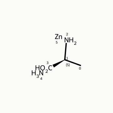 C[C@H](N)C(=O)O.N.[Zn]